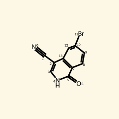 N#Cc1c[nH]c(=O)c2ccc(Br)cc12